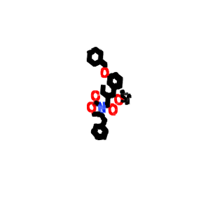 CCC(C(=O)N1C(=O)OCC1Cc1ccccc1)[C@@H](O[Si](C)(C)C)c1cccc(OCC2CCCCC2)c1